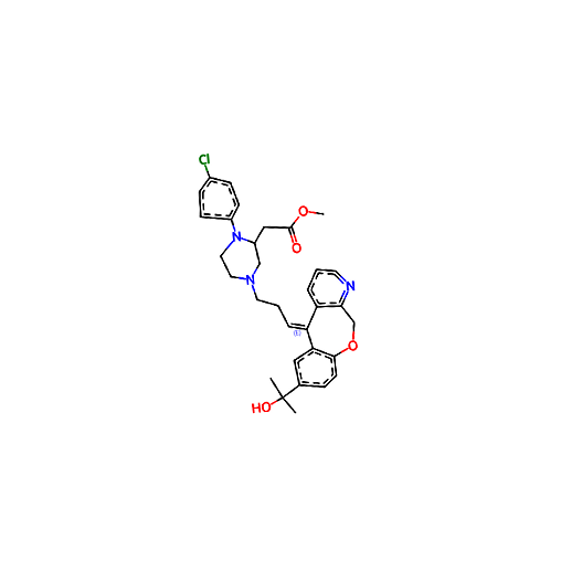 COC(=O)CC1CN(CC/C=C2/c3cc(C(C)(C)O)ccc3OCc3ncccc32)CCN1c1ccc(Cl)cc1